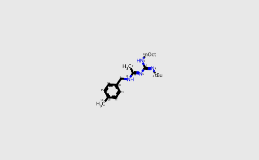 CCCCCCCCNC(=N/C(C)(C)C)/N=C(\C)NCc1ccc(C)cc1